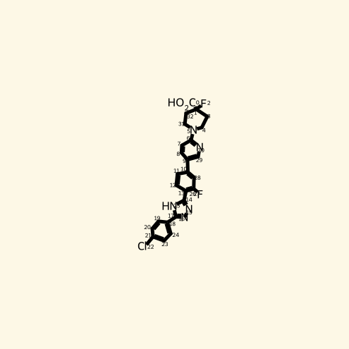 O=C(O)C1(F)CCN(c2ccc(-c3ccc(-c4nnc(-c5ccc(Cl)cc5)[nH]4)c(F)c3)cn2)CC1